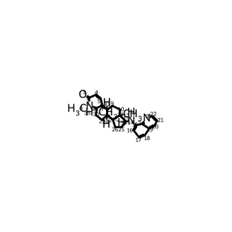 CN1C(=O)C=C[C@]2(C)[C@H]3CC[C@]4(C)[C@@H](Nc5cccc6cccnc56)CC[C@H]4[C@@H]3CC[C@@H]12